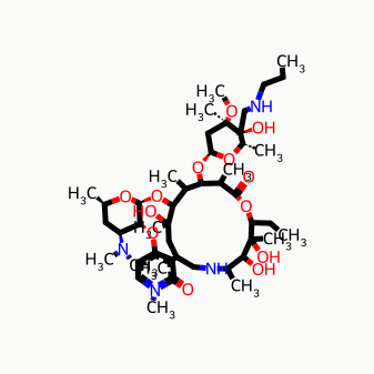 CCCNC[C@]1(O)[C@H](C)O[C@@H](OC2C(C)C(=O)OC(CC)C(C)(O)C(O)C(C)NCC(C)CC(C)(O)C(O[C@@H]3O[C@H](C)C[C@H](N(C)C)[C@H]3Oc3ccn(C)c(=O)c3)C2C)C[C@@]1(C)OC